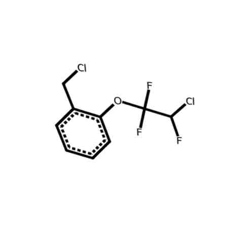 FC(Cl)C(F)(F)Oc1ccccc1CCl